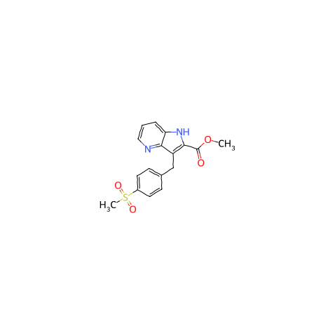 COC(=O)c1[nH]c2cccnc2c1Cc1ccc(S(C)(=O)=O)cc1